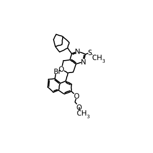 COCOc1cc(C2Cc3nc(SC)nc(C4CC5CCC(C5)C4)c3CO2)c2c(Br)cccc2c1